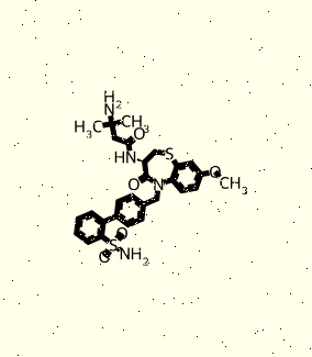 COc1ccc2c(c1)SC[C@@H](NC(=O)CC(C)(C)N)C(=O)N2Cc1ccc(-c2ccccc2S(N)(=O)=O)cc1